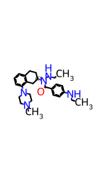 CCNc1ccc(C(=O)N(NCC)[C@H]2CCc3cccc(N4CCN(C)CC4)c3C2)cc1